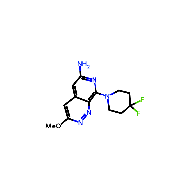 COc1cc2cc(N)nc(N3CCC(F)(F)CC3)c2nn1